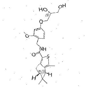 COc1cc(OC[C@@H](O)CO)ccc1CNC(=O)c1sc(C)c2c1C[C@@H]1[C@H]2C1(C)C